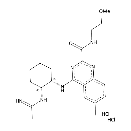 COCCNC(=O)c1nc(N[C@H]2CCCC[C@H]2NC(C)=N)c2cc(C)ccc2n1.Cl.Cl